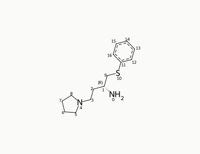 N[C@H](CCN1CCCC1)CSc1ccccc1